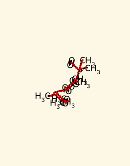 CCCCCCCCC1C(CCCCCC)CCC(CCCCCCCCC(CC)(CC)N2C(=O)c3ccc(Oc4ccc5c(c4)C(=O)N(CCCCCCCCC4CCC(CCCCCC)C(CCCCCCCC)C4CCCCCCCCC(CC)(CC)N4C(=O)C=CC4=O)C5=O)cc3C2=O)C1CCCCCCCCN1C(=O)C=CC1=O